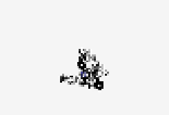 CN(C)Cc1ccc(/C=C/c2ncccc2C(=O)NC(Cc2ccccc2)C(=O)C(N)=O)cc1.Cl.Cl